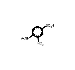 CC(=O)Nc1ccc(S(=O)(=O)O)cc1[N+](=O)[O-]